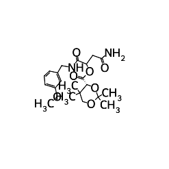 COc1cccc(CNC(=O)C(CC(N)=O)OC(=O)[C@@H]2OC(C)(C)OCC2(C)C)c1